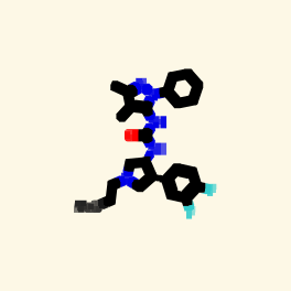 COCCN1C[C@@H](NC(=O)Nc2c(C)c(C)nn2C2CCCCC2)[C@H](c2ccc(F)c(F)c2)C1